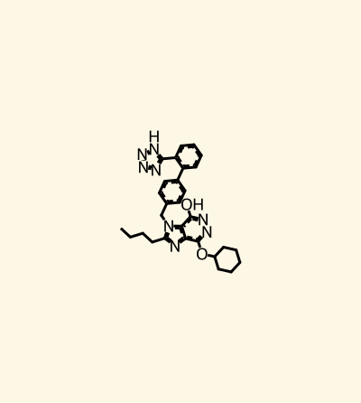 CCCCc1nc2c(OC3CCCCC3)nnc(O)c2n1Cc1ccc(-c2ccccc2-c2nnn[nH]2)cc1